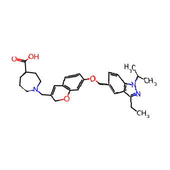 CCc1nn(C(C)C)c2ccc(COc3ccc4c(c3)OCC(CN3CCCC(C(=O)O)CC3)=C4)cc12